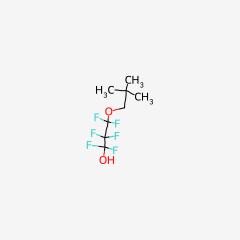 CC(C)(C)COC(F)(F)C(F)(F)C(O)(F)F